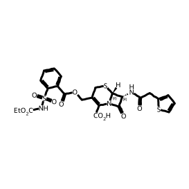 CCOC(=O)NS(=O)(=O)c1ccccc1C(=O)OCC1=C(C(=O)O)N2C(=O)[C@@H](NC(=O)Cc3cccs3)[C@H]2SC1